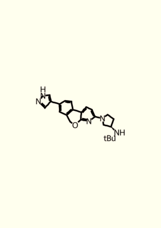 CC(C)(C)N[C@@H]1CCN(c2ccc3c(n2)OCc2cc(-c4cn[nH]c4)ccc2-3)C1